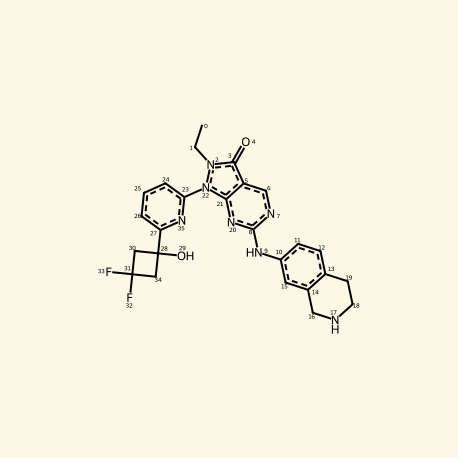 CCn1c(=O)c2cnc(Nc3ccc4c(c3)CNCC4)nc2n1-c1cccc(C2(O)CC(F)(F)C2)n1